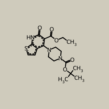 CCOC(=O)c1c(N2CCN(C(=O)OC(C)(C)C)CC2)c2ccsc2[nH]c1=O